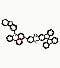 C1=Cc2c(sc3ccc(N(c4ccc(C5=CC6Oc7cc8c(cc7OC6C=C5)C5(c6ccccc6-c6ccccc65)c5ccccc5-8)cc4)c4ccccc4-c4ccccc4)cc23)CC1